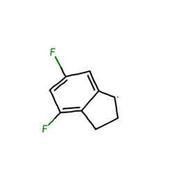 Fc1cc(F)c2c(c1)[CH]CC2